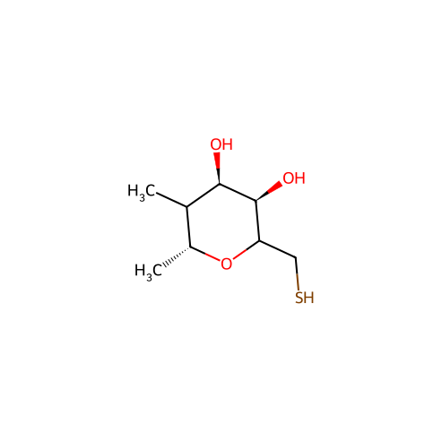 CC1[C@@H](O)[C@@H](O)C(CS)O[C@@H]1C